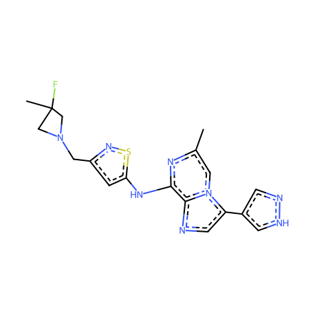 Cc1cn2c(-c3cn[nH]c3)cnc2c(Nc2cc(CN3CC(C)(F)C3)ns2)n1